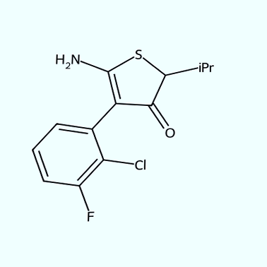 CC(C)C1SC(N)=C(c2cccc(F)c2Cl)C1=O